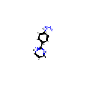 Nc1[c]cc(-c2ncccn2)cc1